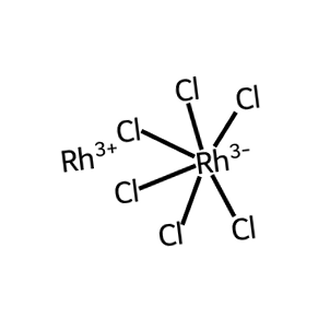 [Cl][Rh-3]([Cl])([Cl])([Cl])([Cl])[Cl].[Rh+3]